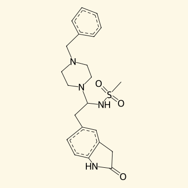 CS(=O)(=O)NC(Cc1ccc2c(c1)CC(=O)N2)N1CCN(Cc2ccccc2)CC1